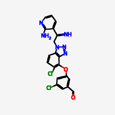 N=C(Cn1nnc2c(Oc3cc(Cl)cc(C=O)c3)c(Cl)ccc21)c1cccnc1N